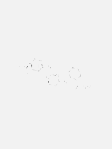 CCOC(=O)N1C2CCC1c1cc(Nc3ncc(Cl)c(Nc4ccccc4C(=O)NC)n3)c(Cl)cc1C2